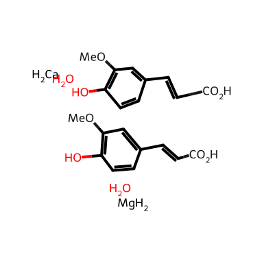 COc1cc(/C=C/C(=O)O)ccc1O.COc1cc(/C=C/C(=O)O)ccc1O.O.O.[CaH2].[MgH2]